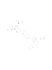 C1=Cc2c(c(-c3ccccc3)c3ccc(-c4ccc5cc(-c6ccc7c(c6)c6c(n7-c7ccccc7)C=CNC6)ccc5c4)cc3c2-c2ccccc2)CC1